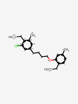 Cc1ccc(CC(=O)O)c(OCCCCc2cc(C)c(CC(=O)O)c(Cl)c2)c1